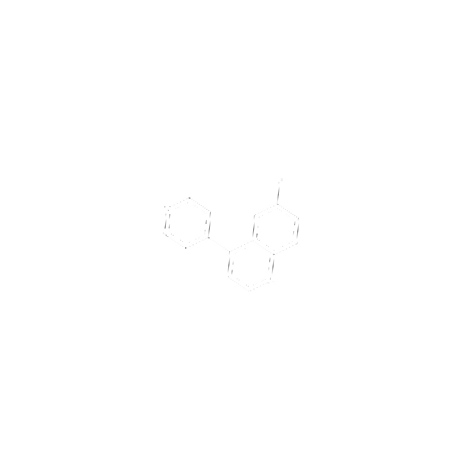 Brc1ccc2nccc(-c3ccnnc3)c2c1